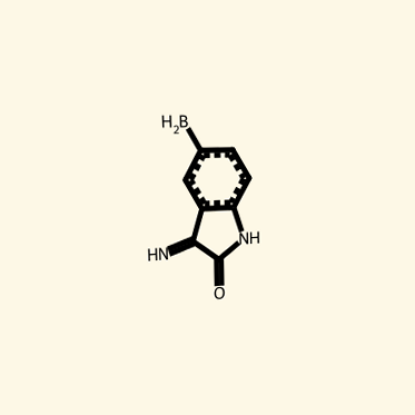 Bc1ccc2c(c1)C(=N)C(=O)N2